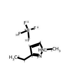 CCC1=N[NH+](C)C=C1.F[B-](F)(F)F